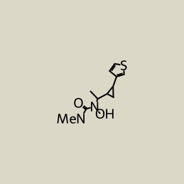 CNC(=O)N(O)C(C)C1CC1c1ccsc1